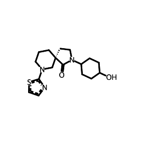 O=C1N(C2CCC(O)CC2)CC[C@]12CCCN(c1nccs1)C2